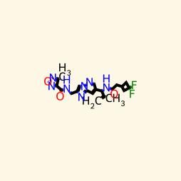 C=C(C)C(NC(=O)CC1CC(F)(F)C1)c1cnn2cc(CNC(=O)c3nonc3C)nc2c1